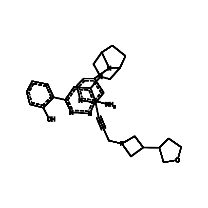 Nc1nnc(-c2ccccc2O)cc1N1CC2CCC(C1)N2c1ccnc(C#CCN2CC(C3CCOC3)C2)c1